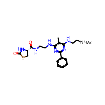 CC(=O)NCCNc1nc(-c2ccccc2)nc(NCCNC(=O)[C@@H]2CSC(=O)N2)c1C